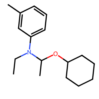 CCN(c1cccc(C)c1)C(C)OC1CCCCC1